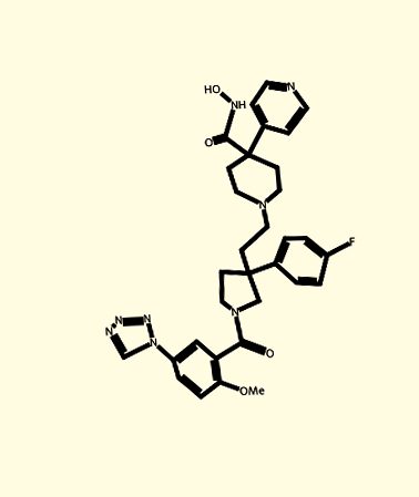 COc1ccc(-n2cnnn2)cc1C(=O)N1CCC(CCN2CCC(C(=O)NO)(c3ccncc3)CC2)(c2ccc(F)cc2)C1